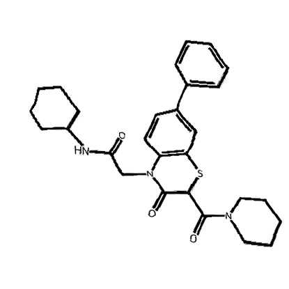 O=C(CN1C(=O)C(C(=O)N2CCCCC2)Sc2cc(-c3ccccc3)ccc21)NC1CCCCC1